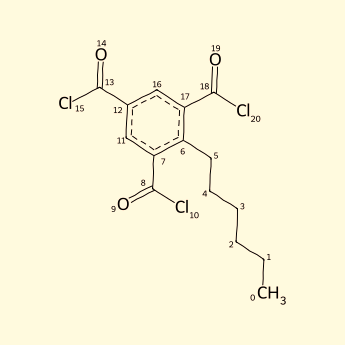 CCCCCCc1c(C(=O)Cl)cc(C(=O)Cl)cc1C(=O)Cl